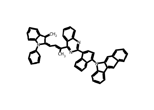 C=c1/c(=C\C=C(/C)c2nc(-c3ccc(-n4c5ccccc5c5cc6ccccc6cc54)c4ccccc34)nc3ccccc23)n(-c2ccccc2)c2ccccc12